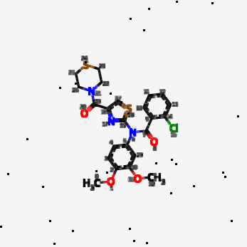 COc1ccc(N(C(=O)c2ccccc2Cl)c2nc(C(=O)N3CCSCC3)cs2)cc1OC